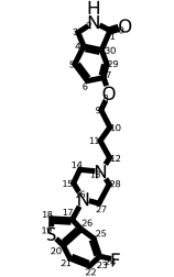 O=C1NCc2ccc(OCCCCN3CCN(c4csc5ccc(F)cc45)CC3)cc21